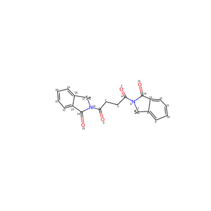 O=C(CCC(=O)n1[se]c2ccccc2c1=O)n1[se]c2ccccc2c1=O